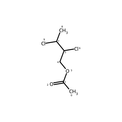 CC(=O)OCC(Cl)C(C)Cl